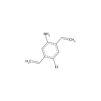 C=Cc1cc(CC)c(C=C)cc1N